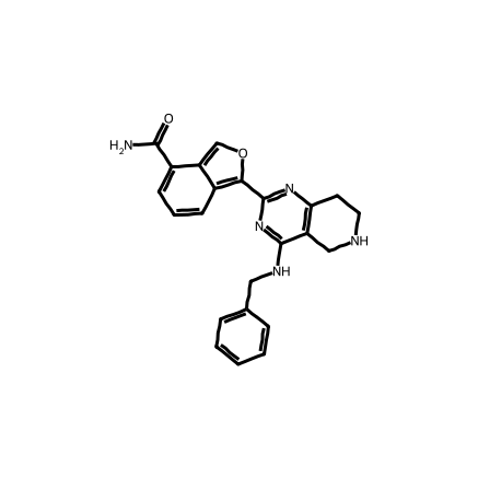 NC(=O)c1cccc2c(-c3nc4c(c(NCc5ccccc5)n3)CNCC4)occ12